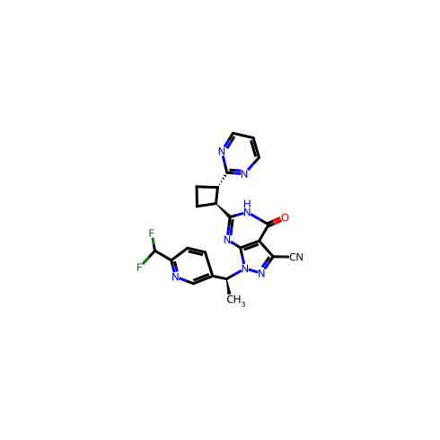 C[C@@H](c1ccc(C(F)F)nc1)n1nc(C#N)c2c(=O)[nH]c([C@H]3CC[C@@H]3c3ncccn3)nc21